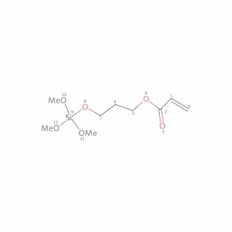 C=CC(=O)OCCCO[Si](OC)(OC)OC